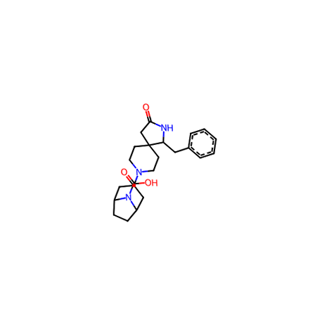 O=C1CC2(CCN(C3CC4CCC(C3)N4C(=O)O)CC2)C(Cc2ccccc2)N1